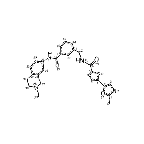 Cc1ncc(-c2ccc(C(=O)NCc3cccc(C(=O)Nc4ccc5c(c4)CN(C)CC5)c3)s2)o1